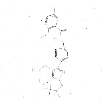 COc1ccc(F)cc1C(=O)NCc1ccc(-c2nn(CC(C)C(F)(F)F)c(N)c2CN)cc1